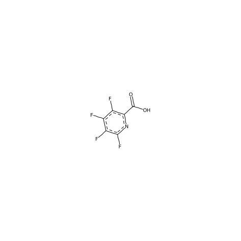 O=C(O)c1nc(F)c(F)c(F)c1F